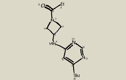 CCC(=O)N1CC(Nc2cc(C(C)(C)C)ncn2)C1